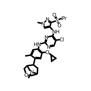 Cc1cc(Nc2ncc(Cl)c(Nc3cn(C)nc3S(=O)(=O)C(C)C)n2)c(OC2CC2)cc1C1CC2COCC1CN2C